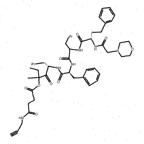 C#CCNC(=O)CCC(=O)OC(C)(CI)C(=O)[C@H](CC(C)C)NC(=O)[C@H](Cc1ccccc1)NC(=O)C(CC(C)C)NC(=O)[C@H](CCc1ccccc1)NC(=O)CN1CCOCC1